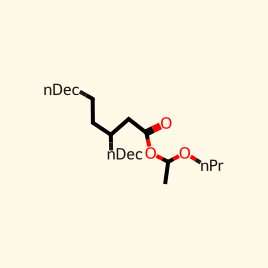 CCCCCCCCCCCCC(CCCCCCCCCC)CC(=O)OC(C)OCCC